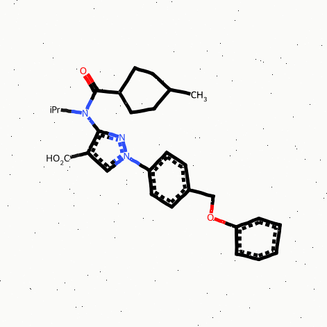 CC1CCC(C(=O)N(c2nn(-c3ccc(COc4ccccc4)cc3)cc2C(=O)O)C(C)C)CC1